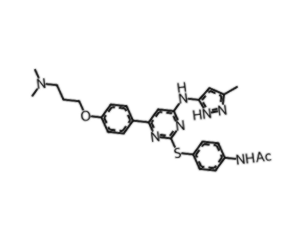 CC(=O)Nc1ccc(Sc2nc(Nc3cc(C)n[nH]3)cc(-c3ccc(OCCCN(C)C)cc3)n2)cc1